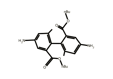 CCCCOC(=O)c1cc(N)cc(C)c1-c1c(C)cc(N)cc1C(=O)OCCCC